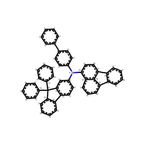 c1ccc(-c2ccc(N(c3ccc4c(c3)C(c3ccccc3)(c3ccccc3)c3ccccc3-4)c3ccc4c5c(cccc35)-c3ccccc3-4)cc2)cc1